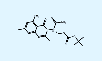 Cc1cc(N)c2c(=O)n([C@@H](CCC(=O)OC(C)(C)C)C(N)=O)c(C)nc2c1